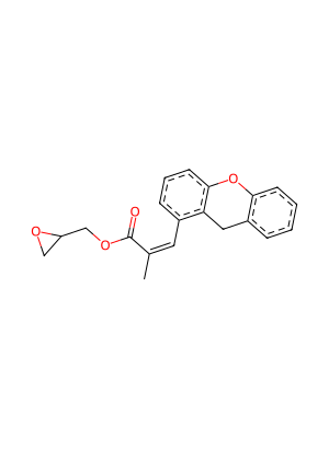 CC(=Cc1cccc2c1Cc1ccccc1O2)C(=O)OCC1CO1